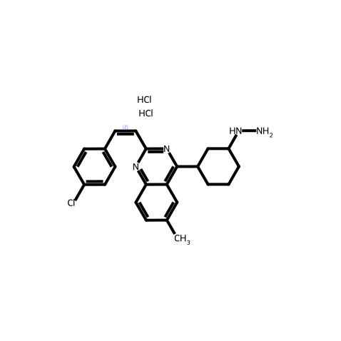 Cc1ccc2nc(/C=C\c3ccc(Cl)cc3)nc(C3CCCC(NN)C3)c2c1.Cl.Cl